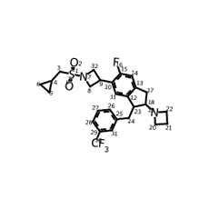 O=S(=O)(CC1CC1)N1CC(c2cc3c(cc2F)CC(N2CCC2)C3Cc2cccc(C(F)(F)F)c2)C1